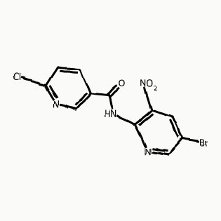 O=C(Nc1ncc(Br)cc1[N+](=O)[O-])c1ccc(Cl)nc1